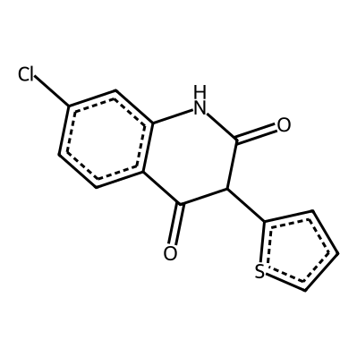 O=C1Nc2cc(Cl)ccc2C(=O)C1c1cccs1